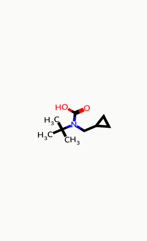 CC(C)(C)N(CC1CC1)C(=O)O